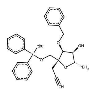 B[C@@H]1O[C@](CC#C)(CO[Si](c2ccccc2)(c2ccccc2)C(C)(C)C)[C@@H](OCc2ccccc2)[C@H]1O